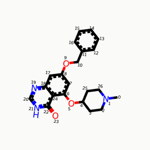 CN1CCC(Oc2cc(OCc3ccccc3)cc3nc[nH]c(=O)c23)CC1